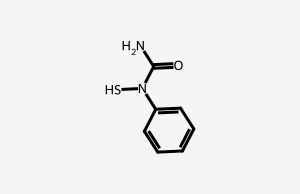 NC(=O)N(S)c1ccccc1